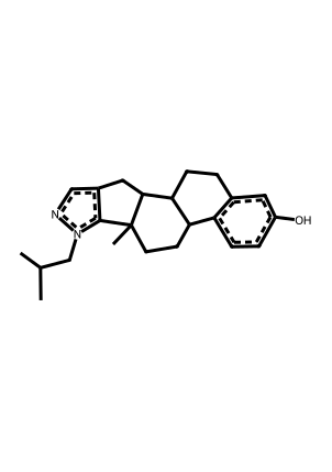 CC(C)Cn1ncc2c1C1(C)CCC3c4ccc(O)cc4CCC3C1C2